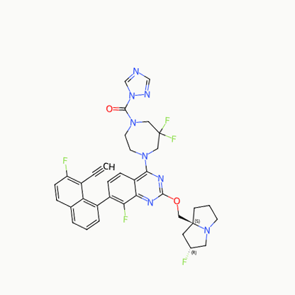 C#Cc1c(F)ccc2cccc(-c3ccc4c(N5CCN(C(=O)n6cncn6)CC(F)(F)C5)nc(OC[C@@]56CCCN5C[C@H](F)C6)nc4c3F)c12